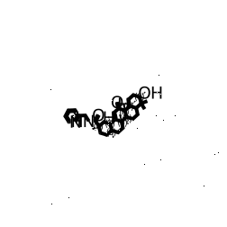 CC1(C)C2CC[C@]3(C)[C@H](C(=O)C=C4[C@@H]5C[C@@](C)(C(=O)NCc6ccccn6)CC[C@]5(C)CC[C@]43C)[C@@]2(C)CC[C@@H]1O